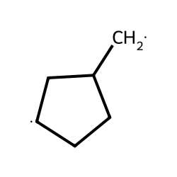 [CH2]C1C[CH]CC1